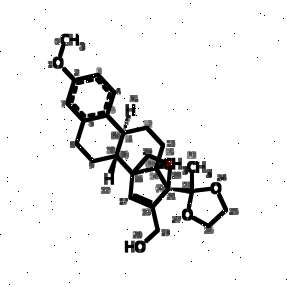 COc1ccc2c(c1)CC[C@@H]1[C@@H]2CC[C@@]2(C)C13C=C(CO)[C@@]2(C1(C)OCCO1)CC3